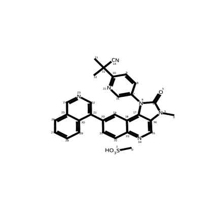 CS(=O)(=O)O.Cn1c(=O)n(-c2ccc(C(C)(C)C#N)nc2)c2c3cc(-c4cncc5ccccc45)ccc3ncc21